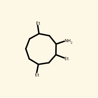 CCC1CCCC(CC)CC(CC)C(N)C1